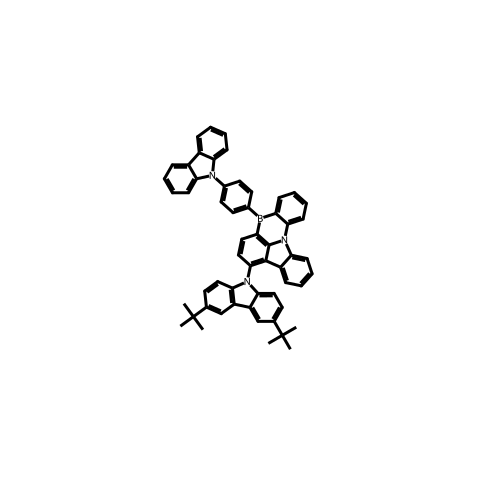 CC(C)(C)c1ccc2c(c1)c1cc(C(C)(C)C)ccc1n2-c1ccc2c3c1c1ccccc1n3-c1ccccc1B2c1ccc(-n2c3ccccc3c3ccccc32)cc1